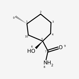 C[C@@H]1CCC[C@](O)(C(N)=O)C1